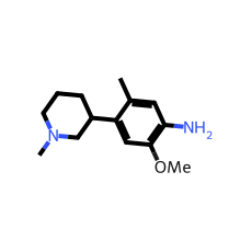 COc1cc(C2CCCN(C)C2)c(C)cc1N